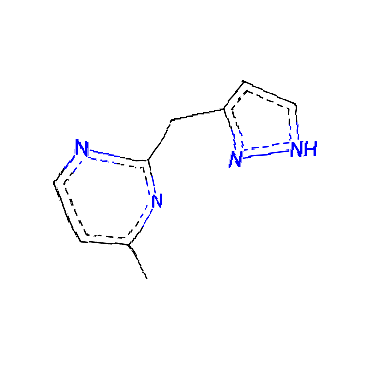 Cc1ccnc(Cc2cc[nH]n2)n1